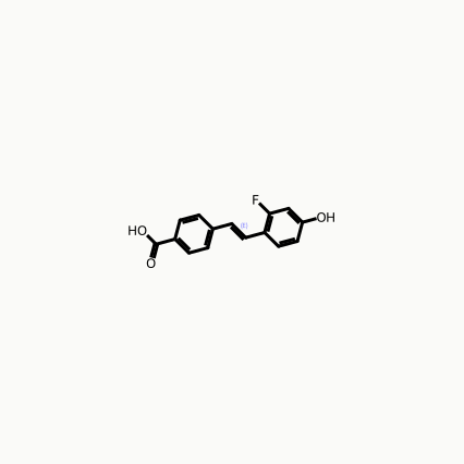 O=C(O)c1ccc(/C=C/c2ccc(O)cc2F)cc1